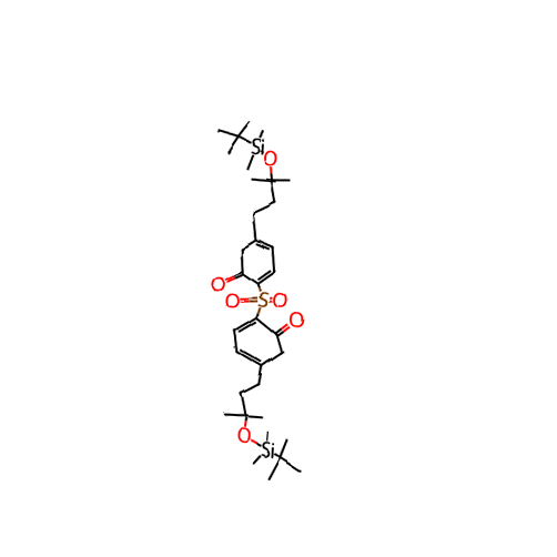 CC(C)(CCC1=CC=C(S(=O)(=O)C2=CC=C(CCC(C)(C)O[Si](C)(C)C(C)(C)C)CC2=O)C(=O)C1)O[Si](C)(C)C(C)(C)C